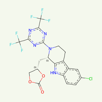 O=C1OC[C@H](C[C@H]2c3[nH]c4ccc(Cl)cc4c3CCN2c2nc(C(F)(F)F)nc(C(F)(F)F)n2)O1